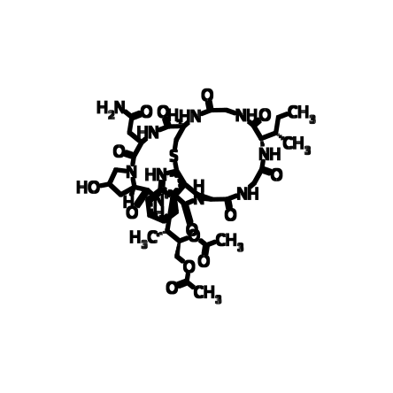 CC[C@H](C)[C@@H]1NC(=O)CNC(=O)C2Cc3c([nH]c4ccccc34)SC[C@H](NC(=O)CNC1=O)C(=O)NC(CC(N)=O)C(=O)N1CC(O)C[C@H]1C(=O)N[C@@H]([C@@H](C)[C@H](COC(C)=O)OC(C)=O)C(=O)N2